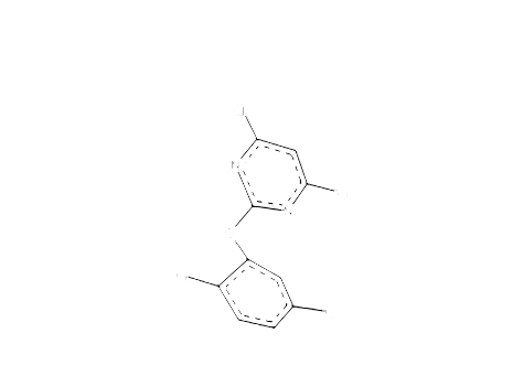 Clc1ccc(Cl)c(Oc2nc(Cl)cc(Cl)n2)c1